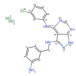 Cl.Cl.Nc1cccc(CNc2n[nH]c3ncnc(Nc4cccc(Cl)c4)c23)c1